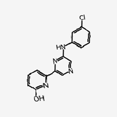 Oc1cccc(-c2cncc(Nc3cccc(Cl)c3)n2)n1